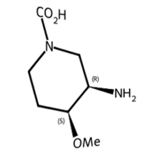 CO[C@H]1CCN(C(=O)O)C[C@H]1N